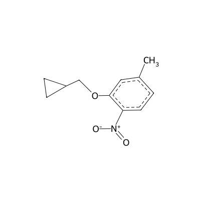 Cc1ccc([N+](=O)[O-])c(OCC2CC2)c1